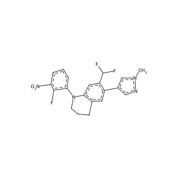 Cn1cc(-c2cc3c(cc2C(F)F)N(c2cccc([N+](=O)[O-])c2F)CCC3)cn1